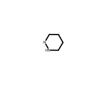 C1CCN[N]C1